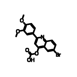 COc1ccc(-c2cc(OC(=O)O)c3cc(Br)ccc3n2)cc1OC